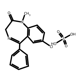 CN1C(=O)CN=C(c2ccccc2)c2cc(Cl)ccc21.O=S(=O)(O)O